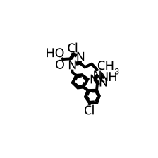 CCCCc1nc(Cl)c(C(=O)O)n1Cc1ccc(-c2cc(Cl)ccc2-c2nn[nH]n2)cc1